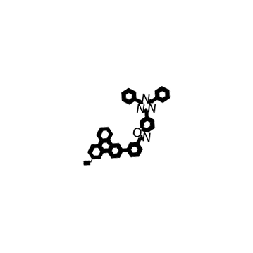 C=C[C@@H]1C=Cc2c3c(c4cc(-c5cccc(-c6nc7ccc(-c8nc(-c9ccccc9)nc(-c9ccccc9)n8)cc7o6)c5)ccc4c2C1)CCC=C3